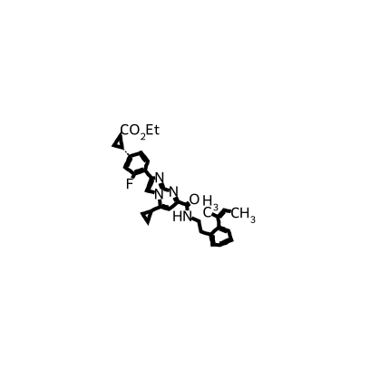 C/C=C(/C)c1ccccc1CCNC(=O)c1cc(C2CC2)n2cc(-c3ccc([C@@H]4C[C@H]4C(=O)OCC)cc3F)nc2n1